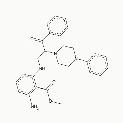 COC(=O)c1c(N)cccc1NCC(C(=O)c1ccccc1)N1CCN(c2ccccc2)CC1